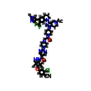 CC(=O)N1CCc2c(c(N3CCCc4cc(-c5cnn(C)c5)c(C(F)F)cc43)nn2C2CCN(C(=O)CN3CCN(c4ncc(C(=O)NC5C(C)(C)C(Oc6ccc(C#N)c(Cl)c6)C5(C)C)cn4)CC3)CC2)C1